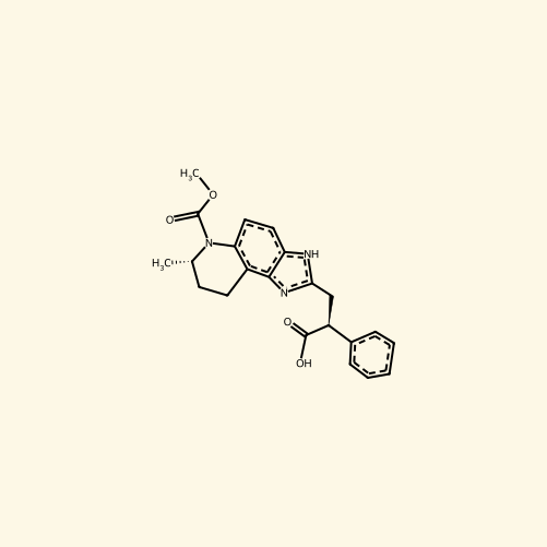 COC(=O)N1c2ccc3[nH]c(C[C@H](C(=O)O)c4ccccc4)nc3c2CC[C@@H]1C